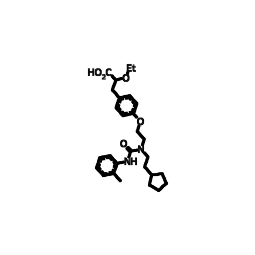 CCOC(Cc1ccc(OCCN(CCC2CCCC2)C(=O)Nc2ccccc2C)cc1)C(=O)O